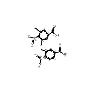 Cc1cc(C(=O)O)cc(C)c1[N+](=O)[O-].Cc1cc(C(=O)O)ccc1[N+](=O)[O-]